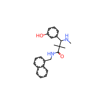 CNC(c1cccc(O)c1)C(C)(C)C(=O)NCc1cccc2ccccc12